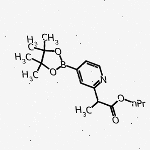 CCCOC(=O)C(C)c1cc(B2OC(C)(C)C(C)(C)O2)ccn1